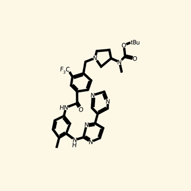 Cc1ccc(NC(=O)c2ccc(CN3CCC(N(C)C(=O)OC(C)(C)C)C3)c(C(F)(F)F)c2)cc1Nc1nccc(-c2cncnc2)n1